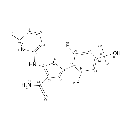 [CH2]c1cccc(Nc2sc(-c3c(F)cc(C(C)(C)O)cc3F)cc2C(N)=O)n1